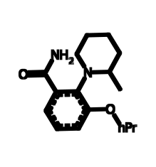 CCCOc1cccc(C(N)=O)c1N1CCCCC1C